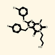 CCc1cccc(Oc2nc3c(c(=O)n(CCCO)c(=O)n3C)n2Cc2ccc(F)cc2)c1